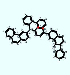 c1ccc(-c2ccccc2N(c2ccc(-c3ccc4ccc5c6ccccc6oc5c4c3)cc2)c2ccc3ccc4ccccc4c3c2)cc1